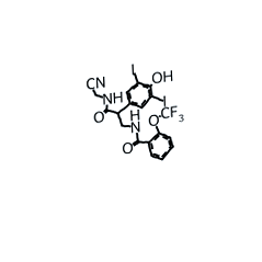 N#CCNC(=O)C(CNC(=O)c1ccccc1OC(F)(F)F)c1cc(I)c(O)c(I)c1